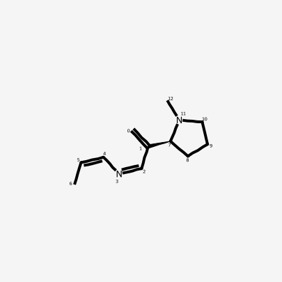 C=C(/C=N\C=C/C)[C@@H]1CCCN1C